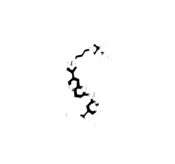 COC1(C)CN(CCCn2cc(-c3cnc4ccc(Nc5cc(C(C)C)cnn5)nc4c3)cn2)C1